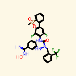 CS(=O)(=O)c1ccccc1-c1cc(F)c(NC(=O)N(Cc2ccccc2C(F)(F)F)Nc2cccc(C(=N)NO)c2)c(F)c1